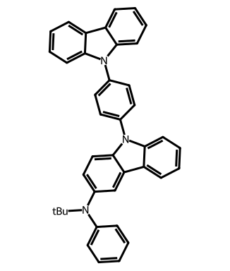 CC(C)(C)N(c1ccccc1)c1ccc2c(c1)c1ccccc1n2-c1ccc(-n2c3ccccc3c3ccccc32)cc1